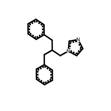 c1ccc(CC(Cc2ccccc2)Cn2ccnc2)cc1